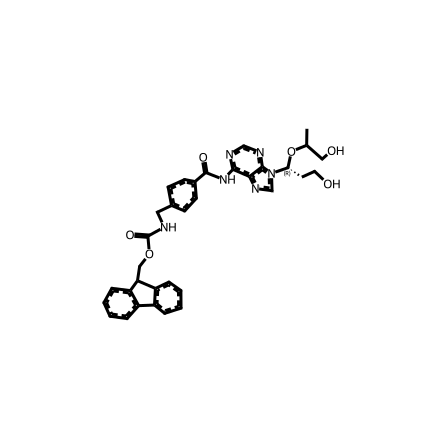 CC(CO)O[C@H](CCO)n1cnc2c(NC(=O)c3ccc(CNC(=O)OCC4c5ccccc5-c5ccccc54)cc3)ncnc21